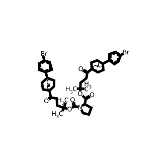 CC(C)(CCC(=O)C12CCC(c3ccc(Br)cc3)(CC1)CC2)OC(=O)C1CCCN1C(=O)OC(C)(C)CCC(=O)C12CCC(c3ccc(Br)cc3)(CC1)CC2